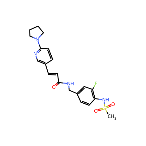 CS(=O)(=O)Nc1ccc(CNC(=O)C=Cc2ccc(N3CCCC3)nc2)cc1F